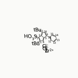 CC(C)(C)C1=C2C(=CC(C(C)(C)C)=C2S(=O)(=O)O)C(c2ccccc2)=C1.[Cl-].[Cl-].[Zr+2]